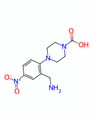 NCc1cc([N+](=O)[O-])ccc1N1CCN(C(=O)O)CC1